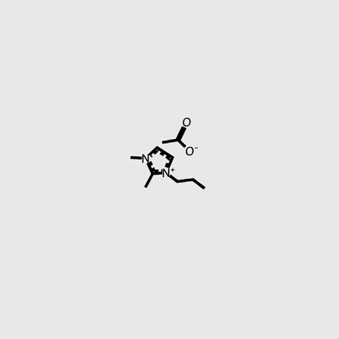 CC(=O)[O-].CCC[n+]1ccn(C)c1C